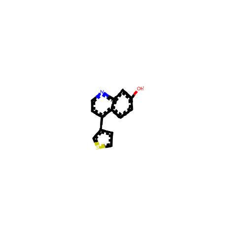 Oc1ccc2c(-c3ccsc3)ccnc2c1